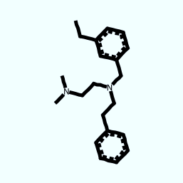 CCc1cccc(CN(CCc2ccccc2)CCN(C)C)c1